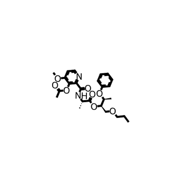 CCCOC[C@@H](OC(=O)[C@H](C)NC(=O)c1nccc(OC)c1OC(C)=O)[C@H](C)Oc1ccccc1